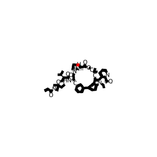 C=CC(=O)N1CC2(CC[C@@H]([C@H](C(=O)N[C@H]3Cc4cccc(c4)-c4ccc5c(c4)c(c(-c4cccnc4[C@H](C)OC)n5CC)CC(C)(C)COC(=O)[C@@H]4CCCN(N4)C3=O)C(C)C)O2)C1